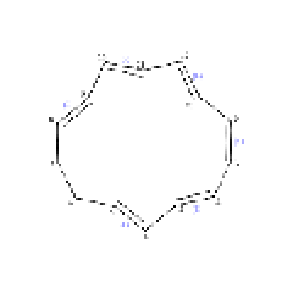 C1=C\C=C\C=C\CC/C=C/C=C/C=C/1